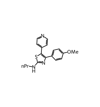 CCCNc1nc(-c2ccc(OC)cc2)c(-c2ccncc2)s1